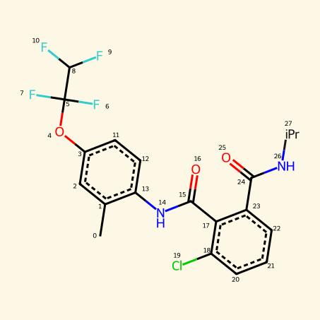 Cc1cc(OC(F)(F)C(F)F)ccc1NC(=O)c1c(Cl)cccc1C(=O)NC(C)C